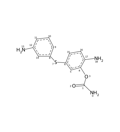 NC(=O)Oc1cc(Sc2cccc(N)c2)ccc1N